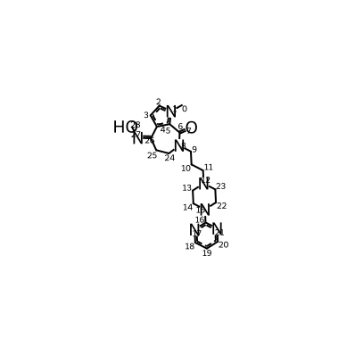 Cn1ccc2c1C(=O)N(CCCN1CCN(c3ncccn3)CC1)CC/C2=N/O